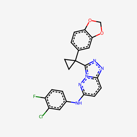 Fc1ccc(Nc2ccc3nnc(C4(c5ccc6c(c5)OCO6)CC4)n3n2)cc1Cl